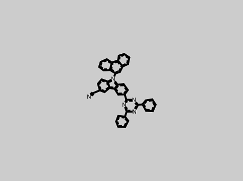 N#Cc1ccc2c(c1)c1cc(-c3nc(-c4ccccc4)nc(-c4ccccc4)n3)ccc1n2-c1cc2ccccc2c2ccccc12